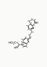 CCCC(CC(=O)O)n1ccc2cc(OCCc3ccc4c(n3)NCCC4)ccc21